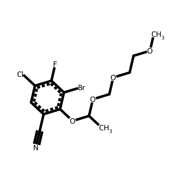 COCCOCOC(C)Oc1c(C#N)cc(Cl)c(F)c1Br